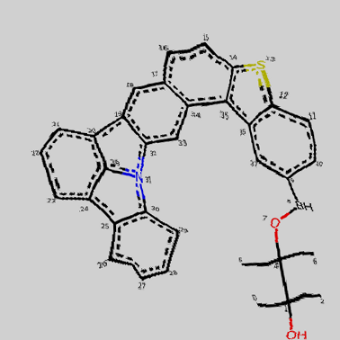 CC(C)(O)C(C)(C)OBc1ccc2sc3ccc4cc5c6cccc7c8ccccc8n(c5cc4c3c2c1)c76